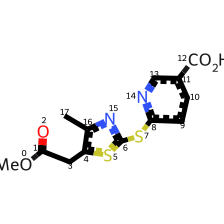 COC(=O)Cc1sc(Sc2ccc(C(=O)O)cn2)nc1C